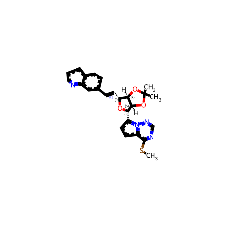 CSc1ncnn2c([C@@H]3O[C@H](/C=C/c4ccc5cccnc5c4)[C@H]4OC(C)(C)O[C@H]43)ccc12